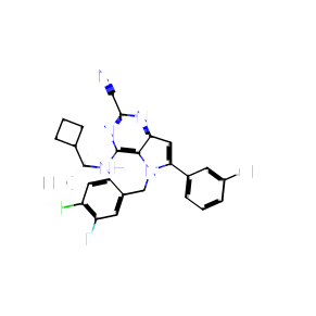 Cc1cccc(-c2cc3nc(C#N)nc(N[C@H](C)C4CCC4)c3n2Cc2ccc(Cl)c(F)c2)c1